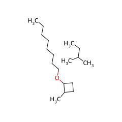 CCC(C)C.CCCCCCCCOC1CCC1C